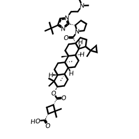 CN(C)CCn1cc(C(C)(C)C)nc1[C@@H]1CCCN1C(=O)[C@]12CCC(C3(C)CC3)[C@@H]1[C@H]1CC[C@@H]3[C@@]4(C)CC[C@H](OC(=O)[C@H]5C[C@@H](C(=O)O)C5(C)C)C(C)(C)[C@@H]4CC[C@@]3(C)[C@]1(C)CC2